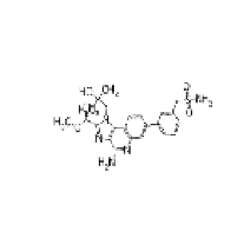 COC(C)c1nc2c(N)nc3cc(-c4cccc(CS(N)(=O)=O)c4)ccc3c2n1CC(C)(C)O